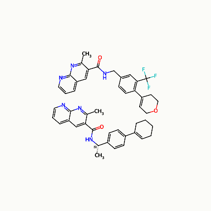 Cc1nc2ncccc2cc1C(=O)NCc1ccc(C2=CCOCC2)c(C(F)(F)F)c1.Cc1nc2ncccc2cc1C(=O)N[C@@H](C)c1ccc(C2=CCCCC2)cc1